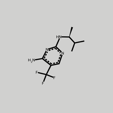 CC(C)[C@H](C)Nc1ncc(C(F)(F)F)c(N)n1